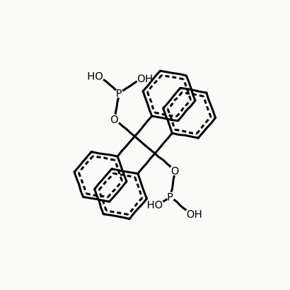 OP(O)OC(c1ccccc1)(c1ccccc1)C(OP(O)O)(c1ccccc1)c1ccccc1